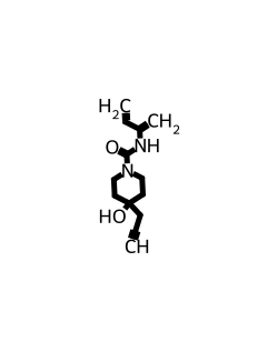 C#CCC1(O)CCN(C(=O)NC(=C)C=C)CC1